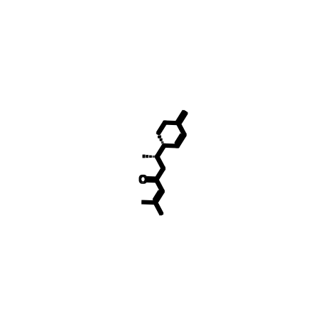 C=C1C=C[C@H]([C@@H](C)CC(=O)C=C(C)C)CC1